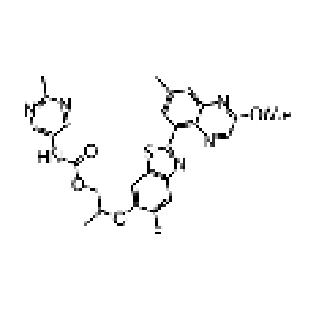 COc1cnc2c(-c3nc4cc(F)c(OC(C)COC(=O)Nc5cnc(C)nc5)cc4s3)cc(C)cc2n1